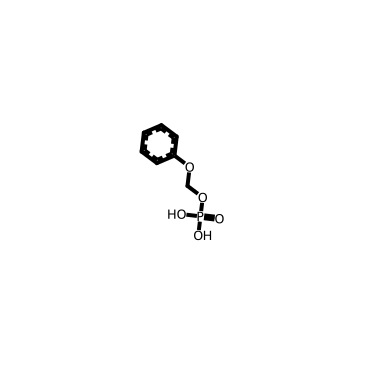 O=P(O)(O)OCOc1ccccc1